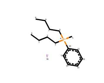 CCCC[P+](C)(CCCC)c1ccccc1.[I-]